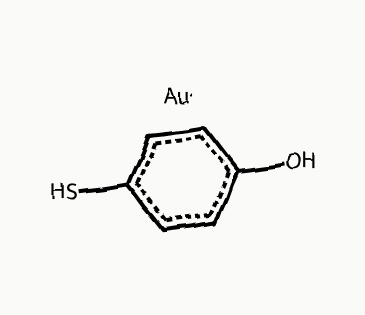 Oc1ccc(S)cc1.[Au]